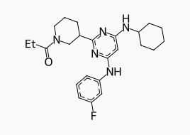 CCC(=O)N1CCCC(c2nc(Nc3cccc(F)c3)cc(NC3CCCCC3)n2)C1